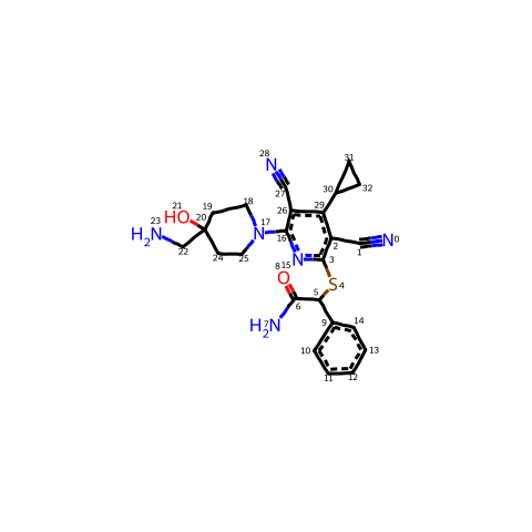 N#Cc1c(SC(C(N)=O)c2ccccc2)nc(N2CCC(O)(CN)CC2)c(C#N)c1C1CC1